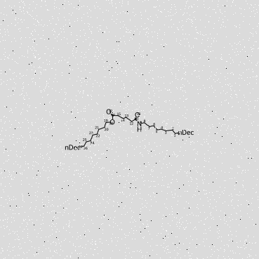 CCCCCCCCCCCCCCCCCCNC(=O)CCCCC(=O)OCCCCCCCCCCCCCCCCCC